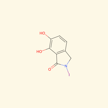 O=C1c2c(ccc(O)c2O)CN1I